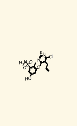 C=CCc1c(Cl)ncnc1Cl.Cc1ccc(O)cc1S(N)(=O)=O.[K]